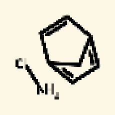 C1=CC2=CC=C1C2.NCl